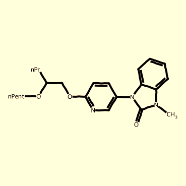 CCCCCOC(CCC)COc1ccc(-n2c(=O)n(C)c3ccccc32)cn1